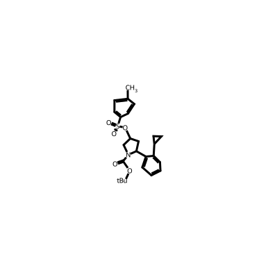 Cc1ccc(S(=O)(=O)OC2CC(c3ccccc3C3CC3)N(C(=O)OC(C)(C)C)C2)cc1